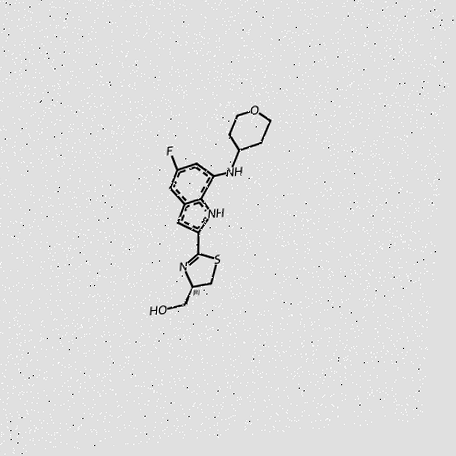 OC[C@@H]1CSC(c2cc3cc(F)cc(NC4CCOCC4)c3[nH]2)=N1